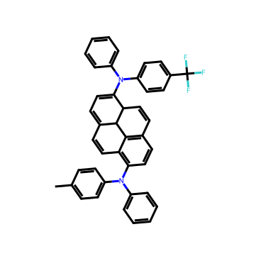 Cc1ccc(N(c2ccccc2)c2ccc3c4c2C=CC2=CC=C(N(c5ccccc5)c5ccc(C(F)(F)F)cc5)C(C=C3)C24)cc1